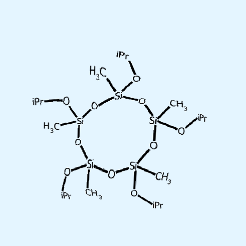 CC(C)O[Si]1(C)O[Si](C)(OC(C)C)O[Si](C)(OC(C)C)O[Si](C)(OC(C)C)O[Si](C)(OC(C)C)O1